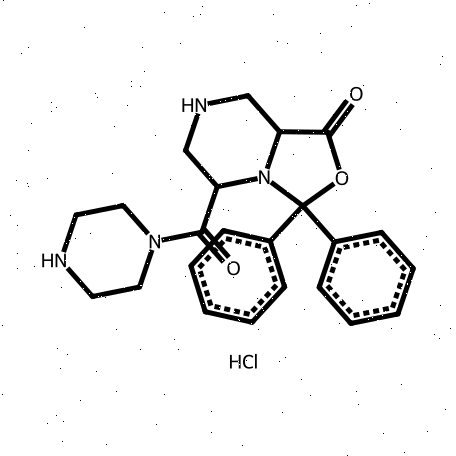 Cl.O=C1OC(c2ccccc2)(c2ccccc2)N2C1CNCC2C(=O)N1CCNCC1